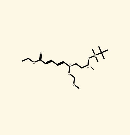 CCOC(=O)C=CC=C[C@@H](CC[C@@H](C)O[Si](C)(C)C(C)(C)C)OCOC